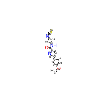 COc1ccc(-c2ccc(C(=O)N[C@H]3C[C@@H](N=C=S)C3)nc2)cc1